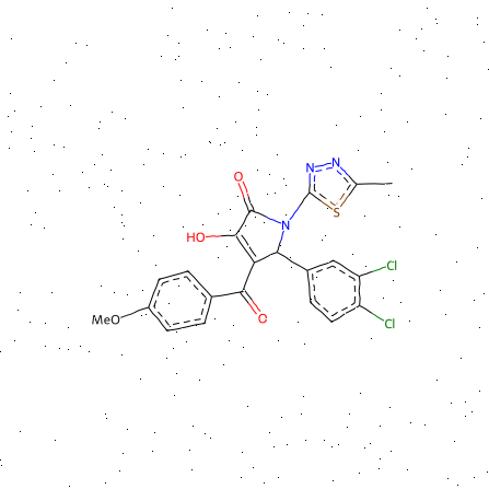 COc1ccc(C(=O)C2=C(O)C(=O)N(c3nnc(C)s3)C2c2ccc(Cl)c(Cl)c2)cc1